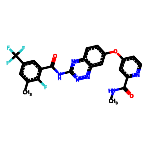 CNC(=O)c1cc(Oc2ccc3nc(NC(=O)c4cc(C(F)(F)F)cc(C)c4F)nnc3c2)ccn1